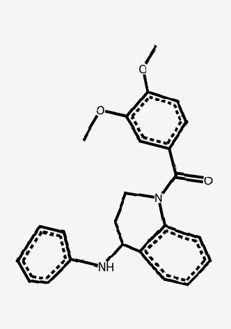 COc1ccc(C(=O)N2CCC(Nc3ccccc3)c3ccccc32)cc1OC